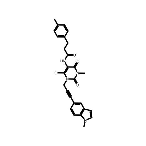 Cc1ccc(CCC(=O)Nc2c(Cl)n(CC#Cc3ccc4c(ccn4C)c3)c(=O)n(C)c2=O)cc1